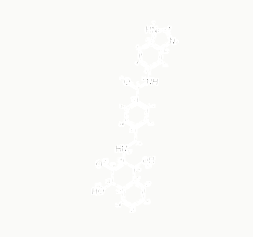 O=C(Nc1ccc2[nH]cnc2c1)c1ccc(CNC2=C(Cl)C(O)c3ccccc3C2O)cc1